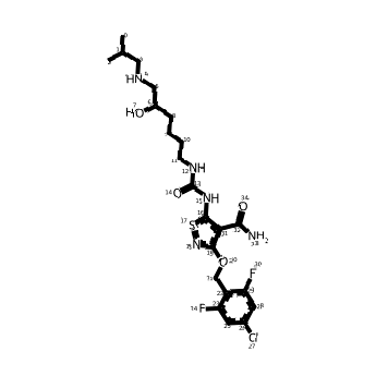 CC(C)CNCC(O)CCCCNC(=O)Nc1snc(OCc2c(F)cc(Cl)cc2F)c1C(N)=O